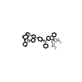 CC1(C)c2ccccc2-c2ccc(N(c3ccccc3)c3ccc(-c4ccc(-n5ccc6ccc7c8ccccc8n(-c8ccccc8)c7c65)cc4)cc3)cc21